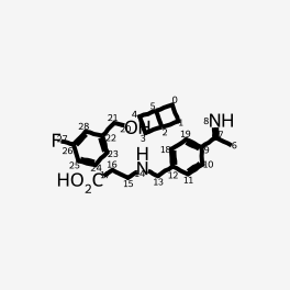 C1CC2CCC12.CC(=N)c1ccc(CNCCC(=O)O)cc1.OCc1cccc(F)c1